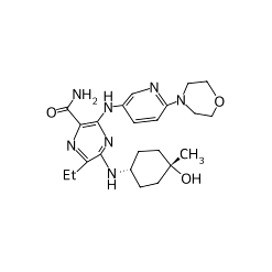 CCc1nc(C(N)=O)c(Nc2ccc(N3CCOCC3)nc2)nc1N[C@H]1CC[C@@](C)(O)CC1